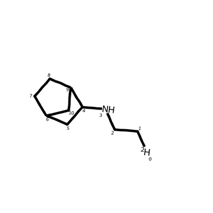 [2H]CCNC1CC2CCC1C2